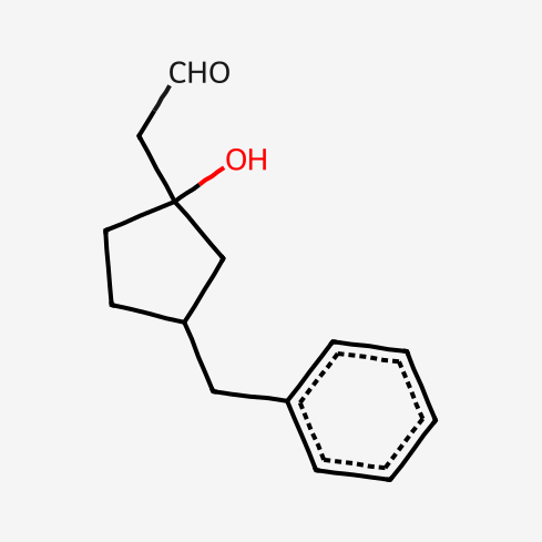 O=CCC1(O)CCC(Cc2ccccc2)C1